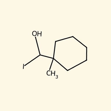 CC1(C(O)I)CCCCC1